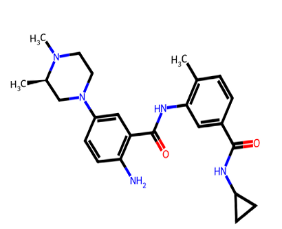 Cc1ccc(C(=O)NC2CC2)cc1NC(=O)c1cc(N2CCN(C)[C@H](C)C2)ccc1N